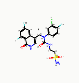 C[C@@H](c1c[nH]c(=O)c2c(F)cc(F)cc12)N(C(=O)NCCS(N)(=O)=O)c1ccc(F)c(Cl)c1